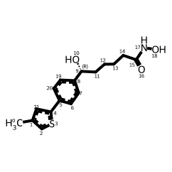 Cc1csc(-c2ccc([C@H](O)CCCCC(=O)NO)cc2)c1